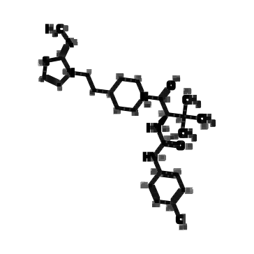 CN=c1sccn1CCC1CCN(C(=O)[C@H](NC(=O)Nc2ccc(Cl)cc2)C(C)(C)C)CC1